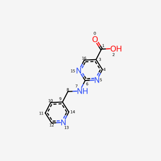 O=C(O)c1cnc(NCc2cccnc2)nc1